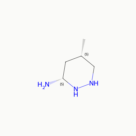 C[C@@H]1CNN[C@H](N)C1